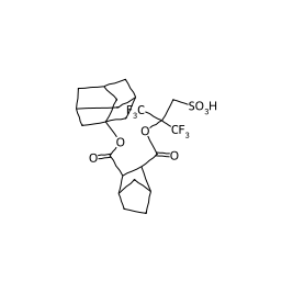 O=C(OC12CC3CC(CC(C3)C1)C2)C1C2CCC(C2)C1C(=O)OC(CS(=O)(=O)O)(C(F)(F)F)C(F)(F)F